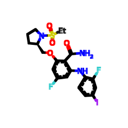 CCS(=O)(=O)N1CCC[C@@H]1COc1cc(F)cc(Nc2ccc(I)cc2F)c1C(N)=O